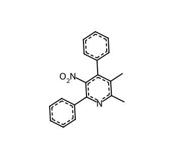 Cc1nc(-c2ccccc2)c([N+](=O)[O-])c(-c2ccccc2)c1C